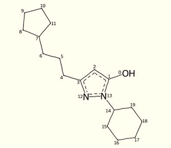 Oc1cc(CCCC2CCCC2)nn1C1CCCCC1